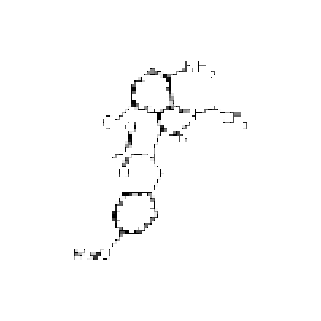 COc1ccc(CN(c2nn(CC(F)(F)F)c3c(N)ccc(Cl)c23)S(C)(=O)=O)cc1